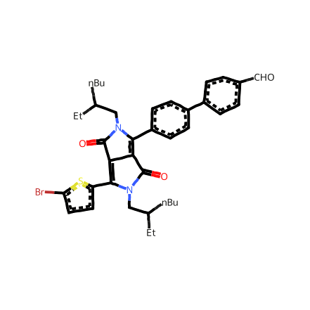 CCCCC(CC)CN1C(=O)C2=C(c3ccc(Br)s3)N(CC(CC)CCCC)C(=O)C2=C1c1ccc(-c2ccc(C=O)cc2)cc1